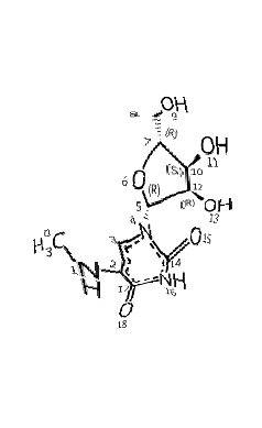 CNc1cn([C@@H]2O[C@H](CO)[C@@H](O)[C@H]2O)c(=O)[nH]c1=O